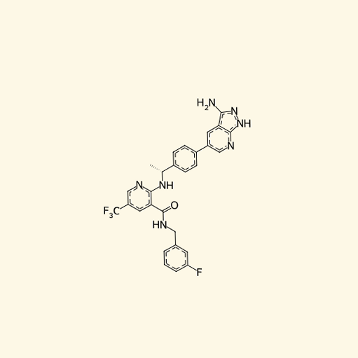 C[C@@H](Nc1ncc(C(F)(F)F)cc1C(=O)NCc1cccc(F)c1)c1ccc(-c2cnc3[nH]nc(N)c3c2)cc1